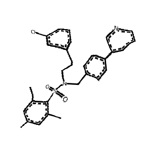 Cc1cc(C)c(S(=O)(=O)N(CCc2cccc(Cl)c2)Cc2ccc(-c3cccnc3)cc2)c(C)c1